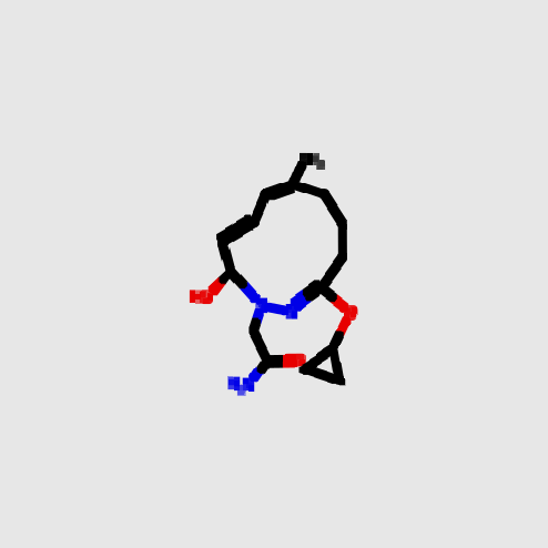 B/C1=C/C=C/[C@H](O)N(CC(N)=O)/N=C(/OC2CC2)CCC1